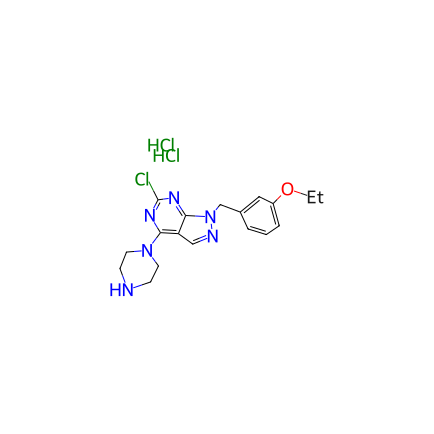 CCOc1cccc(Cn2ncc3c(N4CCNCC4)nc(Cl)nc32)c1.Cl.Cl